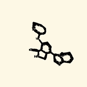 O=C1NCc2c(-c3cnc4ccccn34)ccc(Nc3ccccn3)c21